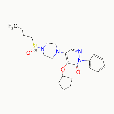 O=c1c(OC2CCCC2)c(N2CCN([S@+]([O-])CCCC(F)(F)F)CC2)cnn1-c1ccccc1